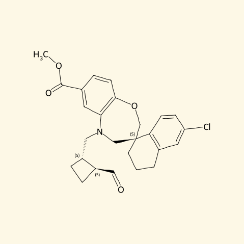 COC(=O)c1ccc2c(c1)N(C[C@H]1CC[C@@H]1C=O)C[C@@]1(CCCc3cc(Cl)ccc31)CO2